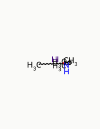 CCCCCCCCCCCCCCCCC1(C)Nc2ccccc2C1(C)C.I